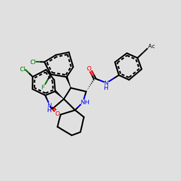 CC(=O)c1ccc(NC(=O)[C@@H]2NC3(CCCCC3)[C@]3(C(=O)Nc4cc(Cl)ccc43)[C@H]2c2cccc(Cl)c2F)cc1